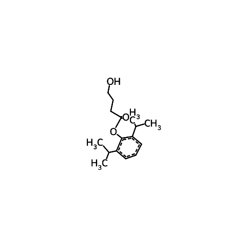 CC(C)c1cccc(C(C)C)c1OC(=O)CCCO